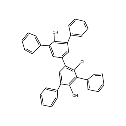 Oc1c(-c2ccccc2)cc(-c2cc(-c3ccccc3)c(O)c(-c3ccccc3)c2Cl)cc1-c1ccccc1